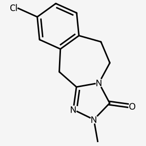 Cn1nc2n(c1=O)CCc1ccc(Cl)cc1C2